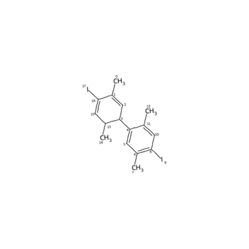 CC1=CC(c2cc(C)c(I)cc2C)C(C)C=C1I